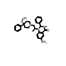 CCCOC1(c2ccccc2)CCN(CC(C)N2c3ccc(N)cc3C(=O)NC2c2ccccc2)CC1